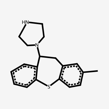 Cc1ccc2c(c1)CC(N1CCNCC1)c1ccccc1S2